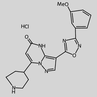 COc1cccc(-c2noc(-c3cnn4c(C5CCNCC5)cc(=O)[nH]c34)n2)c1.Cl